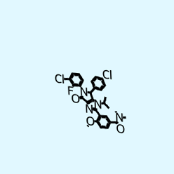 COc1ccc(C(=O)N(C)C)cc1-c1nc2c(n1C(C)C)C(c1ccc(Cl)cc1)N(c1cccc(Cl)c1F)C2=O